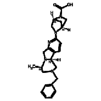 C[C@@H]1CN(Cc2ccccc2)C[C@@H]2c3ccc(N4C[C@@H]5C[C@H]4CN5C(=O)O)nc3CN12